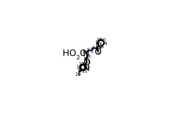 O=C(O)N(C/C=C/C(=O)N1CCCCC1)CCOc1ccc(I)cn1